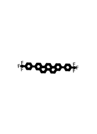 FC(F)(F)c1ccc(-c2ccc3c(ccc4c3ccc3c5ccc(-c6ccc(C(F)(F)F)cc6)cc5ccc34)c2)cc1